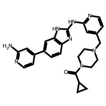 Nc1cc(-c2ccc3nc(Nc4cc(CN5CCN(C(=O)C6CC6)CC5)ccn4)[nH]c3c2)ccn1